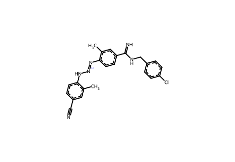 Cc1cc(C(=N)NCc2ccc(Cl)cc2)ccc1/N=N/Nc1ccc(C#N)cc1C